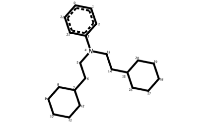 c1ccc(N(CCC2CCCCC2)CCC2CCCCC2)cc1